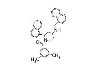 Cc1cc(C)cc(C(=O)N2CC[C@H](NCc3ccnc4ccccc34)C[C@@H]2c2cccc3ccccc23)c1